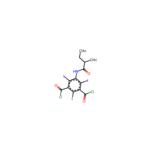 CC(=O)OCC(OC(C)=O)C(=O)Nc1c(I)c(C(=O)Cl)c(I)c(C(=O)Cl)c1I